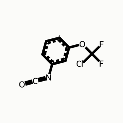 O=C=Nc1cc[c]c(OC(F)(F)Cl)c1